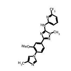 COc1cc(-c2nc(Nc3cccc(C(F)(F)F)n3)n(C)n2)ccc1-n1cnc(C)c1